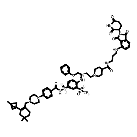 CC1(C)CCC(CN2CCN(c3ccc(C(=O)NS(=O)(=O)c4ccc(N[C@H](CCN5CCC(C(=O)NCCCNc6cccc7c6C(=O)N(C6CCC(=O)NC6=O)C7=O)CC5)CSc5ccccc5)c(S(=O)(=O)C(F)(F)F)c4)cc3)CC2)=C(C23CC(C)(C2)C3)C1